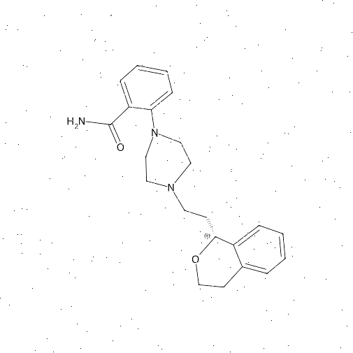 NC(=O)c1ccccc1N1CCN(CC[C@H]2OCCc3ccccc32)CC1